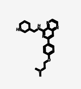 CN(C)CCOc1ccc(-c2cc3nccnc3c(NCC3CCCNC3)n2)cc1